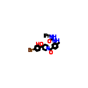 Cc1ccc(C(=O)N2CCC(O)(c3ccc(Br)cc3)CC2)cc1NC(=O)NC(C)C